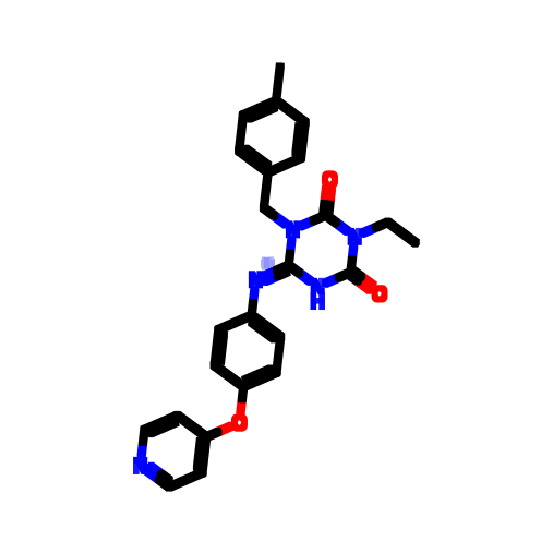 CCn1c(=O)[nH]/c(=N\c2ccc(Oc3ccncc3)cc2)n(Cc2ccc(C)cc2)c1=O